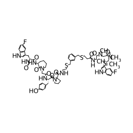 C[C@H](NC(=O)CCSCc1cccc(CSCCNC(=O)C2CCCN2C(=O)[C@H](Cc2ccc(O)cc2)NC(=O)CN2CCCC[C@H](NC(=O)[C@H](Cc3c[nH]c4ccc(F)cc34)NC=O)C2=O)c1)C(=O)N(C)CC(=O)N(C)[C@H](C)Sc1c[nH]c2ccc(F)cc12